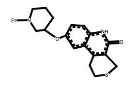 CCN1CCCC(Oc2ccc3[nH]c(=O)c4c(c3c2)CCSC4)C1